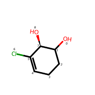 OC1CCC=C(Cl)[C@H]1O